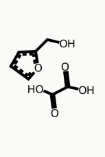 O=C(O)C(=O)O.OCc1ccco1